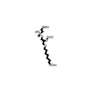 CCCCCCCCCCCCCCCCCOCC(COP(=O)(O)CCNC)OC=O